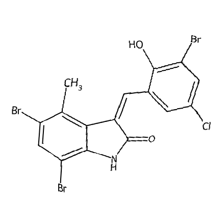 Cc1c(Br)cc(Br)c2c1C(=Cc1cc(Cl)cc(Br)c1O)C(=O)N2